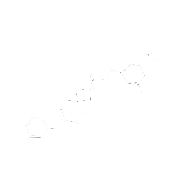 O=C(NCc1cc(Cl)cc(C(F)(F)F)c1)N1CC2(CCN(Cc3ccccc3)CC2)C1